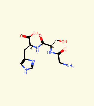 NCC(=O)N[C@@H](CO)C(=O)N[C@@H](Cc1c[nH]cn1)C(=O)O